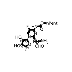 CCCCCOC(=O)Nc1nc(=O)n([C@@H]2O[C@H](C)[C@@H](O)[C@H]2O)cc1F.NNC=O